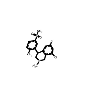 Cc1ccc(S(N)(=O)=O)cc1C1CN(C)Cc2c(Cl)cc(Cl)cc21